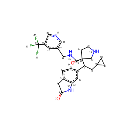 O=C1Cc2ccc(C(CC3CC3)C3(C(=O)NCc4cncc(C(F)(F)F)c4)CCNC3)cc2N1